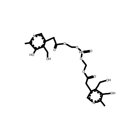 Cc1ncc(CC(=O)OCO[PH](=O)OCOC(=O)Cc2cnc(C)c(O)c2CO)c(CO)c1O